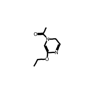 CCOC1=CN(C(C)=O)CC=N1